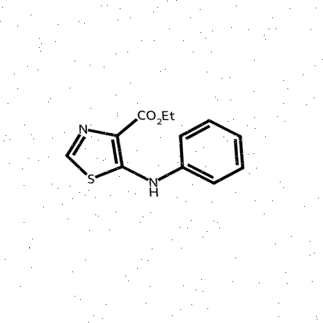 CCOC(=O)c1ncsc1Nc1ccccc1